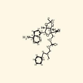 C[C@H](COC(=O)OC[C@@]1(C#N)O[C@@H](c2ccc3c(N)ncnn23)[C@@H]2OC(C)(C)O[C@@H]21)Cc1ccccc1